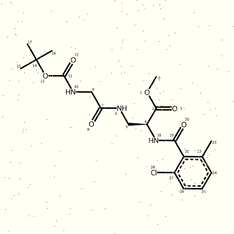 COC(=O)[C@H](CNC(=O)CNC(=O)OC(C)(C)C)NC(=O)c1c(C)cccc1Cl